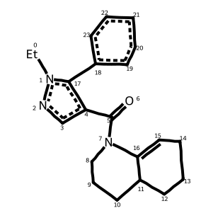 CCn1ncc(C(=O)N2CCCC3CCCC=C32)c1-c1ccccc1